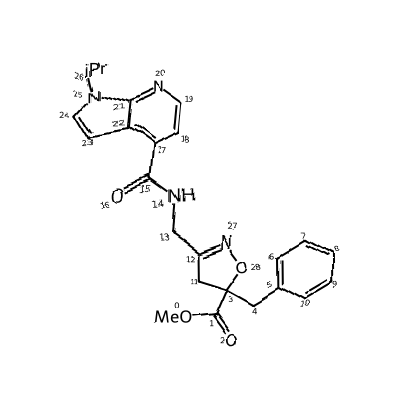 COC(=O)C1(Cc2ccccc2)CC(CNC(=O)c2ccnc3c2ccn3C(C)C)=NO1